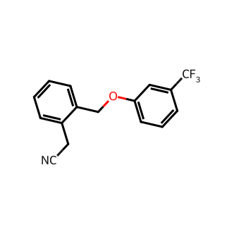 N#CCc1ccccc1COc1cccc(C(F)(F)F)c1